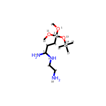 CO[Si](CCC(N)NCCN)(OC)O[Si](C)(C)C